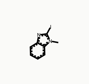 Cn1c(I)nc2ccccc21